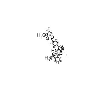 COC(=O)[C@@H](CC1CC1)OCc1ccc(-c2onc(C)c2NC(=O)O[C@H](C)c2ccccc2)cc1